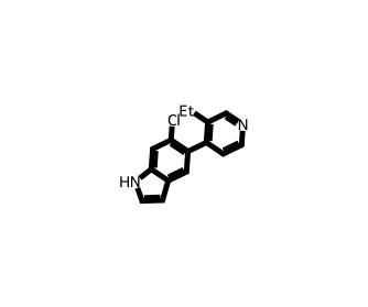 CCc1cnccc1-c1cc2cc[nH]c2cc1Cl